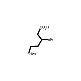 CCCCCCCCC(CCC)CC(=O)O